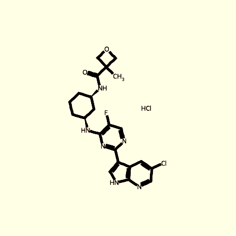 CC1(C(=O)N[C@@H]2CCC[C@H](Nc3nc(-c4c[nH]c5ncc(Cl)cc45)ncc3F)C2)COC1.Cl